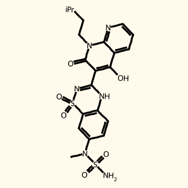 CC(C)CCn1c(=O)c(C2=NS(=O)(=O)c3cc(N(C)S(N)(=O)=O)ccc3N2)c(O)c2cccnc21